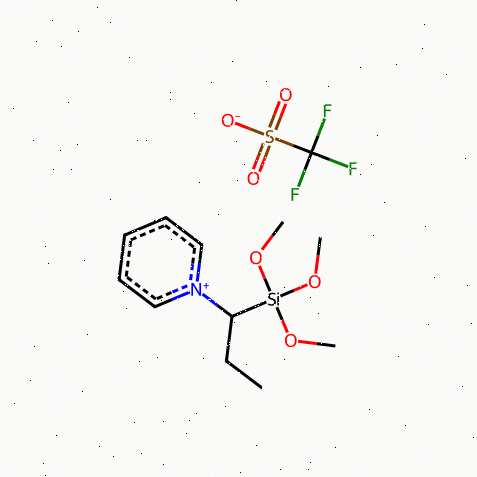 CCC([n+]1ccccc1)[Si](OC)(OC)OC.O=S(=O)([O-])C(F)(F)F